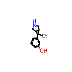 CCC1(c2cccc(O)c2)C2CNCC21